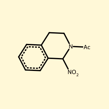 CC(=O)N1CCc2ccccc2C1[N+](=O)[O-]